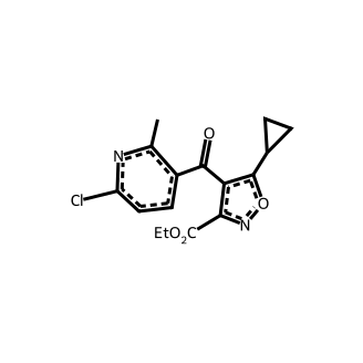 CCOC(=O)c1noc(C2CC2)c1C(=O)c1ccc(Cl)nc1C